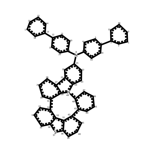 c1ccc(-c2ccc(N(c3ccc(-c4ccccc4)cc3)c3ccc4c(c3)c3cccc5c6cccc7sc8cccc(c9ccccc9n4c53)c8c76)cc2)cc1